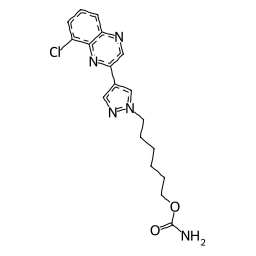 NC(=O)OCCCCCCn1cc(-c2cnc3cccc(Cl)c3n2)cn1